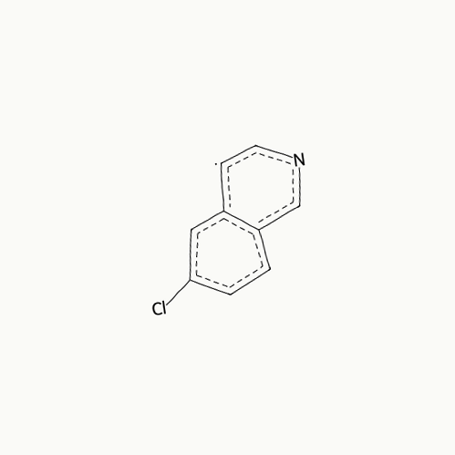 Clc1ccc2cnc[c]c2c1